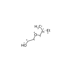 CC[C@@H](C)COCCO